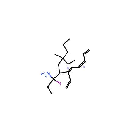 C=C/C=C\C=C(/C=C)C(CC(C)(CC)CCC)C(N)(I)CC